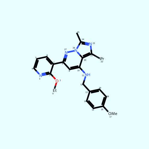 CCOc1ncccc1-c1cc(NCc2ccc(OC)cc2)c2c(C(C)C)nc(C)n2n1